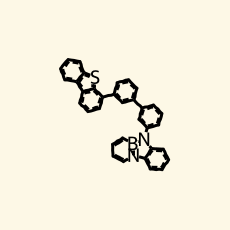 C1=CB2N(C=C1)c1ccccc1N2c1cccc(-c2cccc(-c3cccc4c3sc3ccccc34)c2)c1